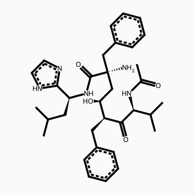 CC(=O)N[C@H](C(=O)[C@@H](Cc1ccccc1)[C@@H](O)C[C@](N)(Cc1ccccc1)C(=O)N[C@@H](CC(C)C)c1ncc[nH]1)C(C)C